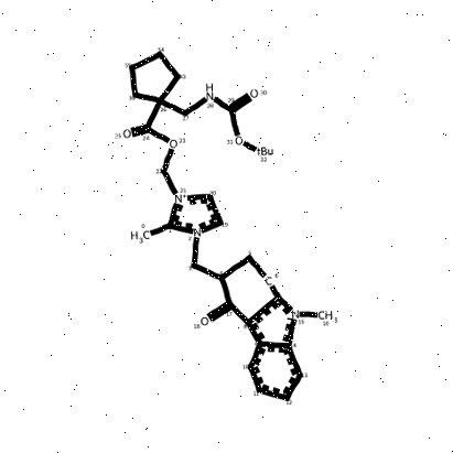 Cc1n(CC2CCc3c(c4ccccc4n3C)C2=O)cc[n+]1COC(=O)C1(CNC(=O)OC(C)(C)C)CCCC1